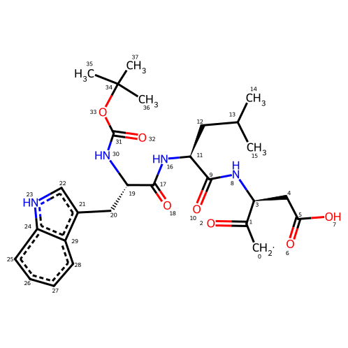 [CH2]C(=O)[C@H](CC(=O)O)NC(=O)[C@H](CC(C)C)NC(=O)[C@H](Cc1c[nH]c2ccccc12)NC(=O)OC(C)(C)C